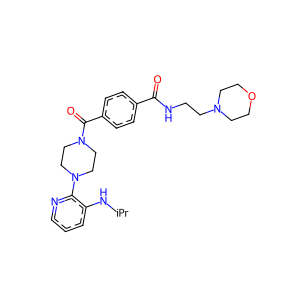 CC(C)Nc1cccnc1N1CCN(C(=O)c2ccc(C(=O)NCCN3CCOCC3)cc2)CC1